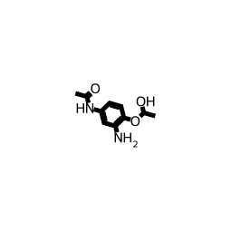 CC(=O)Nc1ccc(OC(C)O)c(N)c1